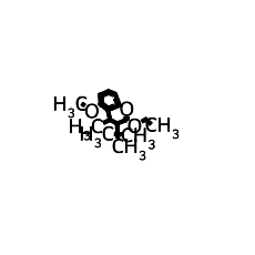 CCOC(=O)C(C(C)c1ccccc1OC)C(C)(C)C